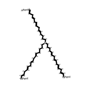 CCCCCC=CCC=CCC=CCC=CCCCCN(CCCCC=CCC=CCC=CCC=CCCCCC)CCCCC=CCC=CCC=CCC=CCCCCC